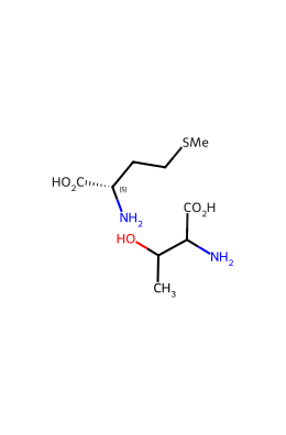 CC(O)C(N)C(=O)O.CSCC[C@H](N)C(=O)O